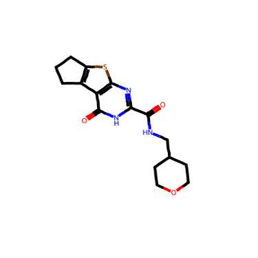 O=C(NCC1CCOCC1)c1nc2sc3c(c2c(=O)[nH]1)CCC3